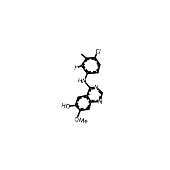 COc1cc2ncnc(Nc3ccc(Cl)c(C)c3F)c2cc1O